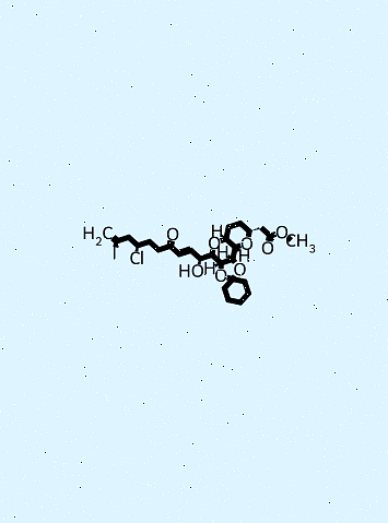 C=C(I)C[C@H](Cl)CCC(=O)/C=C/[C@H](O)C1O[C@H]2CC[C@H](CC(=O)OC)O[C@@H]2[C@@H]2OC3(CCCCC3)O[C@H]12